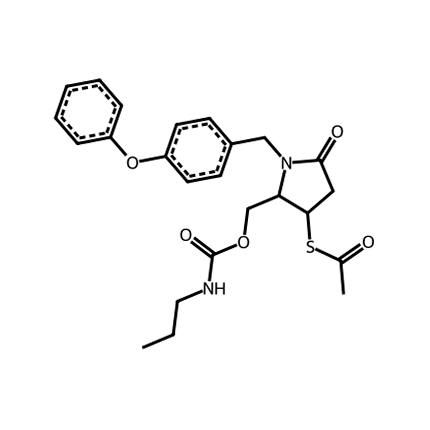 CCCNC(=O)OCC1C(SC(C)=O)CC(=O)N1Cc1ccc(Oc2ccccc2)cc1